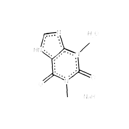 Cn1c(=O)c2[nH]cnc2n(C)c1=O.O.[NaH]